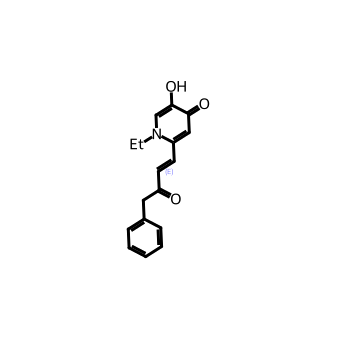 CCn1cc(O)c(=O)cc1/C=C/C(=O)Cc1ccccc1